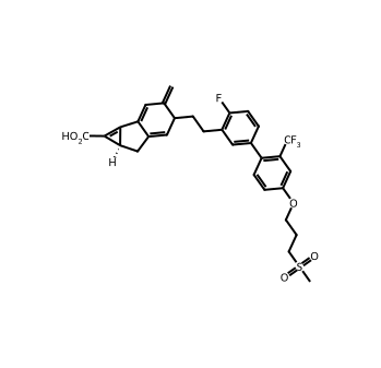 C=C1C=C2C(=CC1CCc1cc(-c3ccc(OCCCS(C)(=O)=O)cc3C(F)(F)F)ccc1F)C[C@H]1C(C(=O)O)=C21